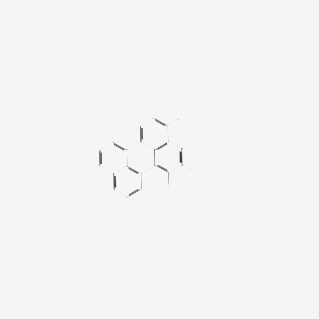 O=C(O)c1c(C(=O)O)c2c(C(=O)O)ccc3c4cccc5cccc(c(c1C(=O)O)c23)c54.[Zn]